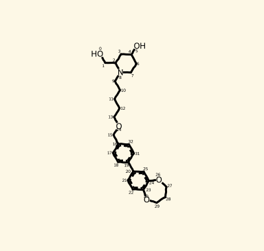 OCC1CC(O)CCN1CCCCCOCc1ccc(-c2ccc3c(c2)OCCCO3)cc1